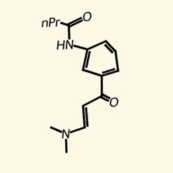 CCCC(=O)Nc1cccc(C(=O)C=CN(C)C)c1